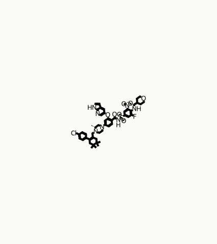 C[C@@H]1CN(c2ccc(C(=O)NS(=O)(=O)c3cc(F)c(NCC4CCOCC4)c([N+](=O)[O-])c3)c(Oc3cnc4[nH]ccc4c3)c2)CCN1CC1=C(c2ccc(Cl)cc2)CC(C)(C)C(C)(C)C1